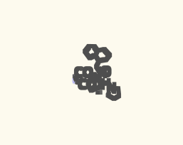 O=C(Cc1cccc2ccccc12)N1CCCCC1CN1CCCC1.O=C(O)/C=C\C(=O)O